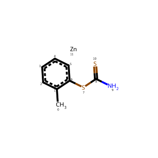 Cc1ccccc1SC(N)=S.[Zn]